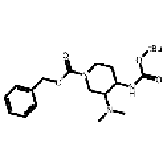 CN(C)C1CN(C(=O)OCc2ccccc2)CCC1NC(=O)OC(C)(C)C